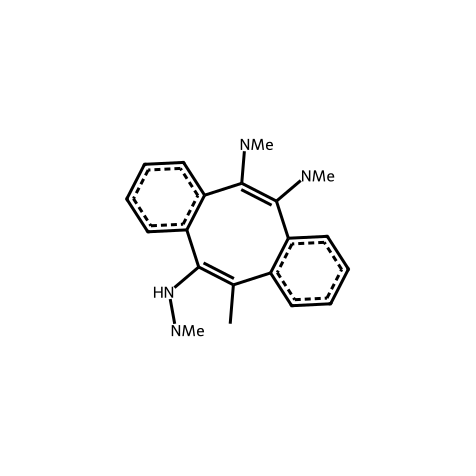 CNN/C1=C(\C)c2ccccc2/C(NC)=C(/NC)c2ccccc21